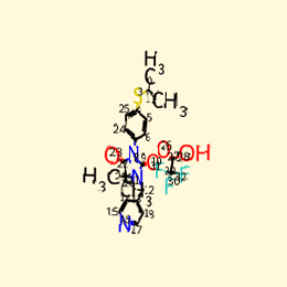 CC(C)Sc1ccc(N2C(=O)N(Cc3ccncc3)C(C)(C)C2=O)cc1.O=C(O)C(F)(F)F